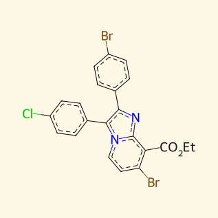 CCOC(=O)c1c(Br)ccn2c(-c3ccc(Cl)cc3)c(-c3ccc(Br)cc3)nc12